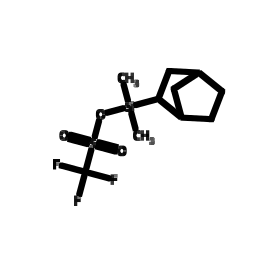 C[Si](C)(OS(=O)(=O)C(F)(F)F)C1CC2CCC1C2